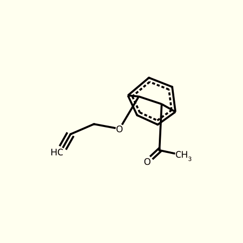 C#CCOC1c2ccc(cc2)C1C(C)=O